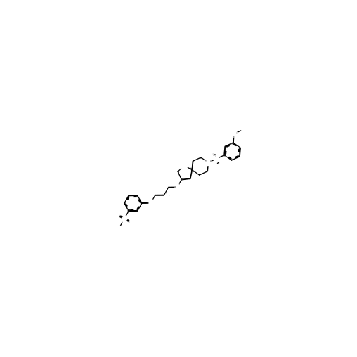 COc1cccc(S(=O)(=O)N2CCC3(CC2)CC(NC[C@H](O)COc2cccc(S(C)(=O)=O)c2)CO3)c1